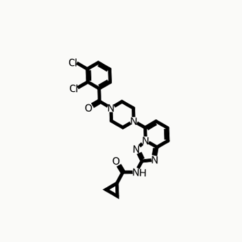 O=C(Nc1nc2cccc(N3CCN(C(=O)c4cccc(Cl)c4Cl)CC3)n2n1)C1CC1